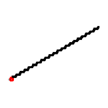 CCCCCCCCCCCCCCCCCCCCCCCCCCCCCCCCCCCCCCCCCCC[O]